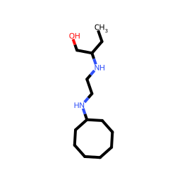 CCC(CO)NCCNC1CCCCCCC1